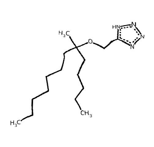 CCCCCCCC(C)(CCCCC)OCc1nnn[nH]1